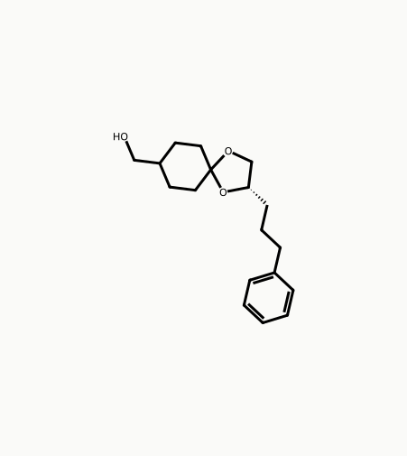 OCC1CCC2(CC1)OC[C@H](CCCc1ccccc1)O2